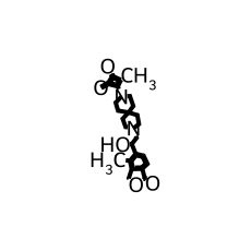 Cc1c(C(O)CN2CCC3(CC2)CCN(c2c(C)c(=O)c2=O)CC3)ccc2c1COC2=O